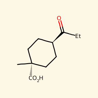 CCC(=O)[C@H]1CC[C@](C)(C(=O)O)CC1